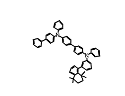 CC1(C)CCC(C)(C)c2c(-c3cccc(N(c4ccccc4)c4ccc(-c5ccc(N(c6ccccc6)c6ccc(-c7ccccc7)cc6)cc5)cc4)c3)cccc21